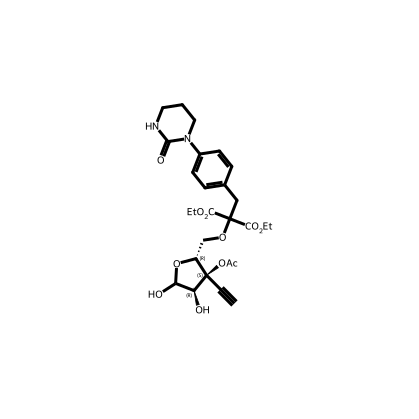 C#C[C@@]1(OC(C)=O)[C@@H](COC(Cc2ccc(N3CCCNC3=O)cc2)(C(=O)OCC)C(=O)OCC)OC(O)[C@@H]1O